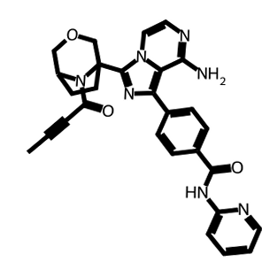 CC#CC(=O)N1C2CCC1(c1nc(-c3ccc(C(=O)Nc4ccccn4)cc3)c3c(N)nccn13)COC2